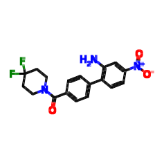 Nc1cc([N+](=O)[O-])ccc1-c1ccc(C(=O)N2CCC(F)(F)CC2)cc1